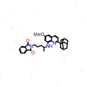 COc1cc(NC(C)CCCN2C(=O)c3ccccc3C2=O)c2nc(C34CC5CC(CC(C5)C3)C4)ccc2c1